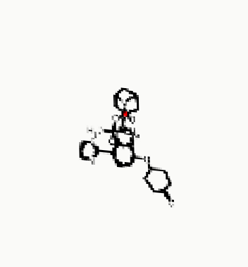 CC(C)(C)OC(=O)N1C2CC1CN(c1nc3c(OC4CCC(=O)CC4)ccc(-c4nccs4)c3o1)C2